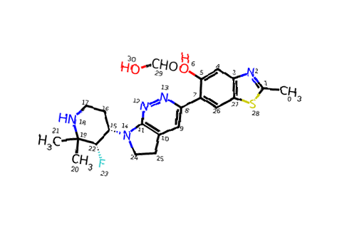 Cc1nc2cc(O)c(-c3cc4c(nn3)N([C@H]3CCNC(C)(C)[C@H]3F)CC4)cc2s1.O=CO